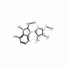 CC(C)NC1N(Cl)c2c(Cl)cccc2N1[C@@H]1O[C@H](CO)[C@@H](O)[C@H]1O